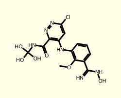 COc1c(Nc2cc(Cl)nnc2C(=O)NC(O)(O)O)cccc1C(=N)NO